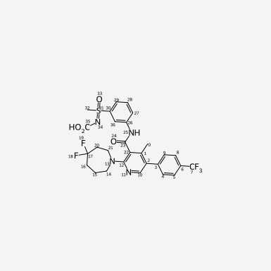 Cc1c(-c2ccc(C(F)(F)F)cc2)cnc(N2CCCC(F)(F)CC2)c1C(=O)Nc1cccc(S(C)(=O)=NC(=O)O)c1